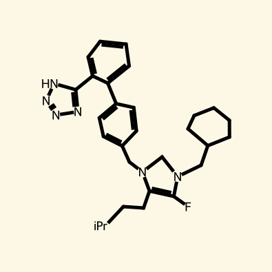 CC(C)CCC1=C(F)N(CC2CCCCC2)CN1Cc1ccc(-c2ccccc2-c2nnn[nH]2)cc1